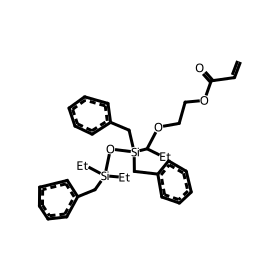 C=CC(=O)OCCOC(CC)[Si](Cc1ccccc1)(Cc1ccccc1)O[Si](CC)(CC)Cc1ccccc1